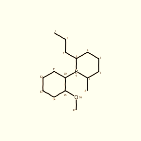 CCCC1CCCC(C)B1C1CCCCC1OC